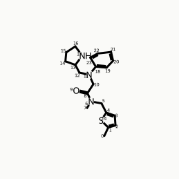 Cc1ccc(CN(C)C(=O)CN(CC2CCCN2)c2ccccc2)s1